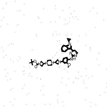 COc1cc(N2CC(N3CCN(C4CN(C(=O)OC(C)(C)C)C4)CC3)C2)ccc1Nc1nccc(-c2cn(C3CC3)c3ccccc23)n1